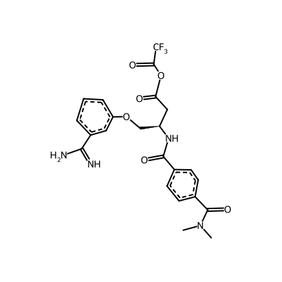 CN(C)C(=O)c1ccc(C(=O)N[C@@H](COc2cccc(C(=N)N)c2)CC(=O)OC(=O)C(F)(F)F)cc1